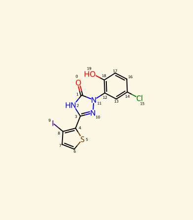 O=c1[nH]c(-c2sccc2I)nn1-c1cc(Cl)ccc1O